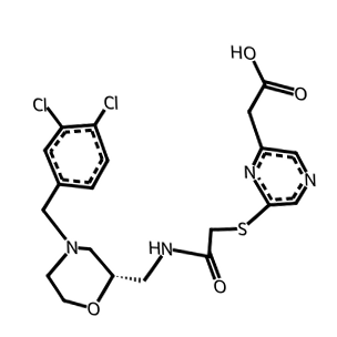 O=C(O)Cc1cncc(SCC(=O)NC[C@H]2CN(Cc3ccc(Cl)c(Cl)c3)CCO2)n1